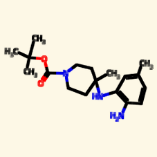 Cc1ccc(N)c(NC2(C)CCN(C(=O)OC(C)(C)C)CC2)c1